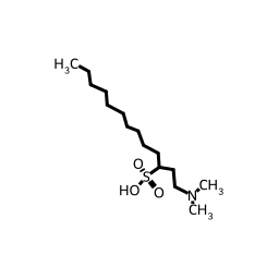 CCCCCCCCCCC(CCN(C)C)S(=O)(=O)O